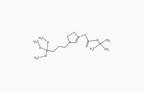 CO[Si](CCCN1C=[N+](CC(=O)OC(C)(C)C)CC1)(OC)OC